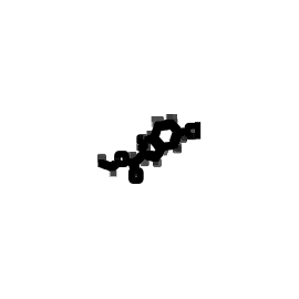 CCOC(=O)c1cc2cc(Cl)ccc2s1